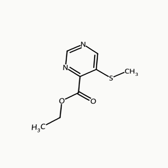 CCOC(=O)c1ncncc1SC